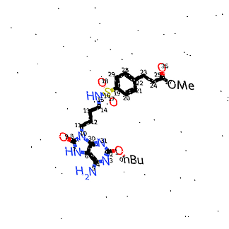 CCCCOc1nc(N)c2[nH]c(=O)n(CCCCNS(=O)(=O)c3ccc(CCC(=O)OC)cc3)c2n1